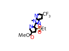 CCS(=O)(=O)c1cc(C(=O)OC)cnc1-c1nc2cc(C(F)(F)F)cnc2n1C